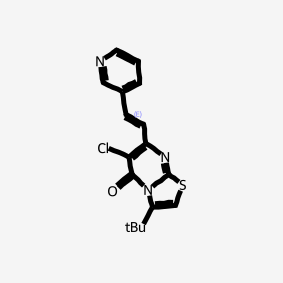 CC(C)(C)c1csc2nc(/C=C/c3cccnc3)c(Cl)c(=O)n12